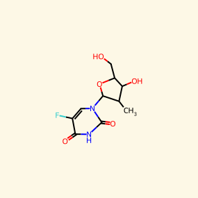 CC1C(O)C(CO)OC1n1cc(F)c(=O)[nH]c1=O